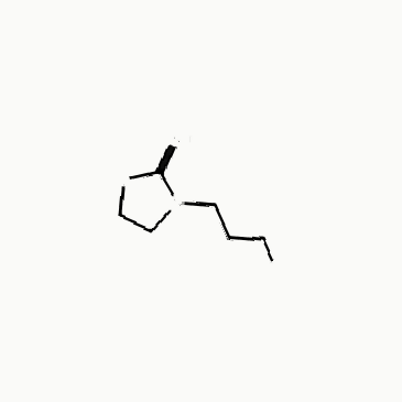 N=C1SCCN1CCCF